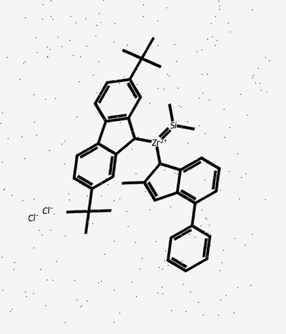 CC1=Cc2c(-c3ccccc3)cccc2[CH]1[Zr+2]([CH]1c2cc(C(C)(C)C)ccc2-c2ccc(C(C)(C)C)cc21)=[Si](C)C.[Cl-].[Cl-]